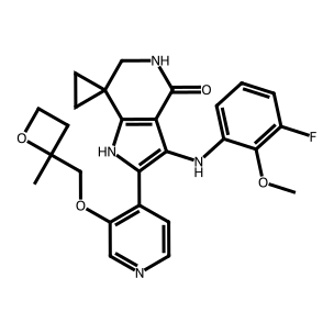 COc1c(F)cccc1Nc1c(-c2ccncc2OCC2(C)CCO2)[nH]c2c1C(=O)NCC21CC1